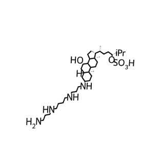 CC(C)[C@@H](CC[C@@H](C)[C@H]1CCC2C3C(O)C[C@H]4C[C@@H](NCCCNCCCCNCCCN)CC[C@]4(C)C3CC[C@@]21C)OS(=O)(=O)O